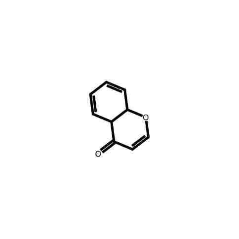 O=C1C=COC2C=CC=CC12